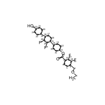 CCOCc1ccc(C(=O)Oc2ccc(-c3ccc(-c4ccc(O)cc4)c(F)c3F)cc2)c(F)c1F